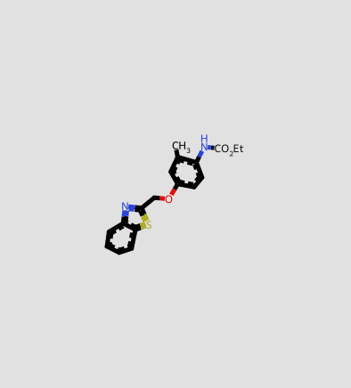 CCOC(=O)Nc1ccc(OCc2nc3ccccc3s2)cc1C